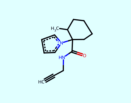 C#CCNC(=O)C1(n2cccc2)CCCCC1C